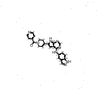 O=C(c1ccncc1)N1CC=C(c2cc3c(Nc4ccc5[nH]ncc5c4)ncnc3[nH]2)CC1